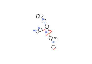 O=C(NS(=O)(=O)c1ccc(NCC2CCOCC2)c([N+](=O)[O-])c1)c1ccc(N2CCN(C3CCc4ccccc43)CC2)cc1Oc1cnc2[nH]ccc2c1